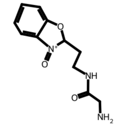 NCC(=O)NCCC1Oc2ccccc2[N+]1=O